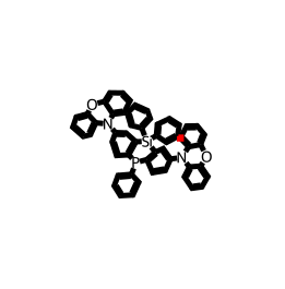 c1ccc(P2c3ccc(N4c5ccccc5Oc5ccccc54)cc3[Si](c3ccccc3)(c3ccccc3)c3cc(N4c5ccccc5Oc5ccccc54)ccc32)cc1